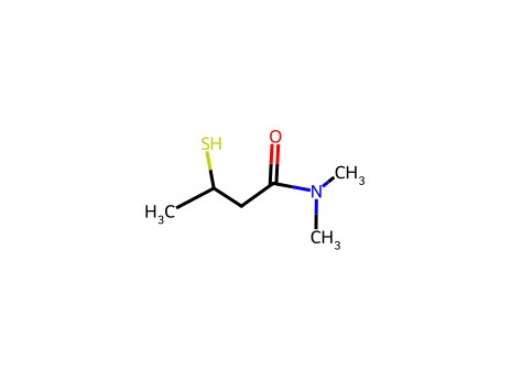 CC(S)CC(=O)N(C)C